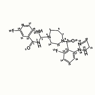 O=C1NC(N2CCCN(C(=O)c3c(F)cccc3N3N=CCN3)CC2)Nc2ccc(F)cc21